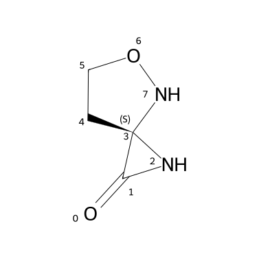 O=C1N[C@]12CCON2